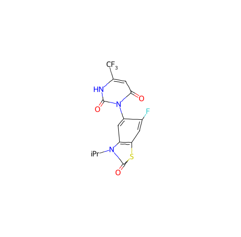 CC(C)n1c(=O)sc2cc(F)c(-n3c(=O)cc(C(F)(F)F)[nH]c3=O)cc21